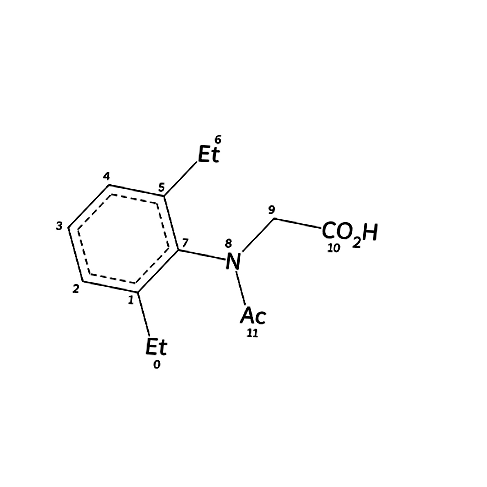 CCc1cccc(CC)c1N(CC(=O)O)C(C)=O